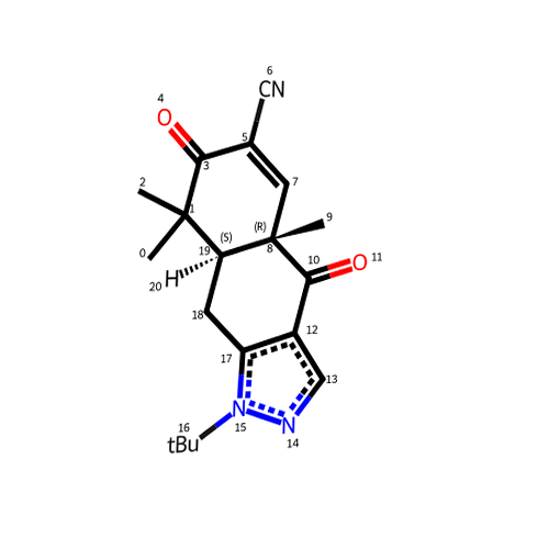 CC1(C)C(=O)C(C#N)=C[C@]2(C)C(=O)c3cnn(C(C)(C)C)c3C[C@@H]12